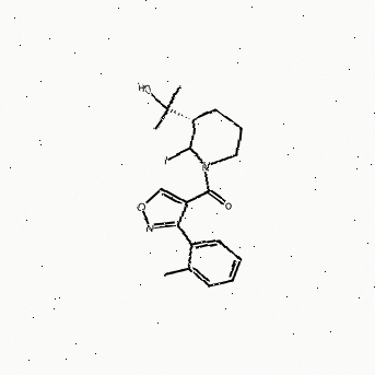 Cc1ccccc1-c1nocc1C(=O)N1CCC[C@@H](C(C)(C)O)C1I